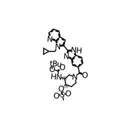 CC(C)(C)OC(=O)N[C@H]1CN(C(=O)c2ccc3[nH]c(-c4cc5cccnc5n4CC4CC4)nc3c2)CC[C@@H]1OS(C)(=O)=O